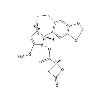 COC1=C[C@]23CCCN2CCc2cc4c(cc2[C@@H]3[C@@H]1OC(=O)[C@@]1(F)CC(=O)O1)OCO4